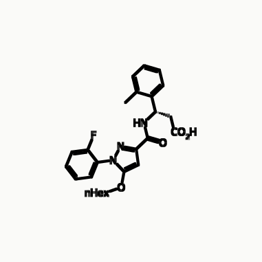 CCCCCCOc1cc(C(=O)N[C@@H](CC(=O)O)c2ccccc2C)nn1-c1ccccc1F